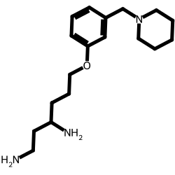 NCCC(N)CCCOc1cccc(CN2CCCCC2)c1